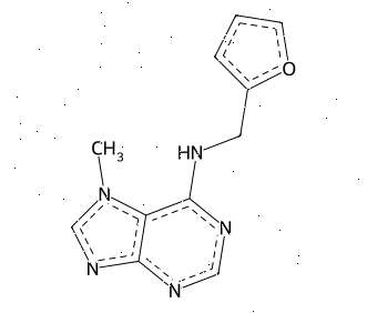 Cn1cnc2ncnc(NCc3ccco3)c21